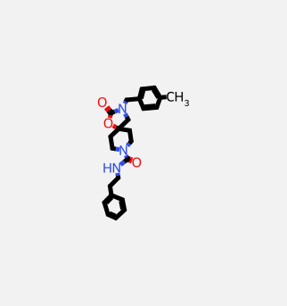 Cc1ccc(CN2CC3(CCN(C(=O)NCCc4ccccc4)CC3)OC2=O)cc1